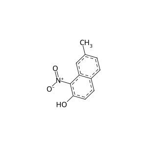 Cc1ccc2ccc(O)c([N+](=O)[O-])c2c1